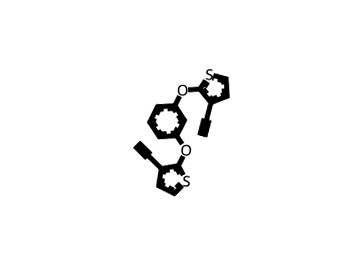 C#Cc1ccsc1Oc1cccc(Oc2sccc2C#C)c1